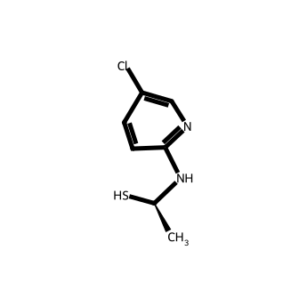 C[C@@H](S)Nc1ccc(Cl)cn1